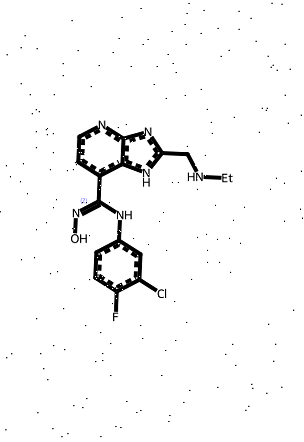 CCNCc1nc2nccc(/C(=N/O)Nc3ccc(F)c(Cl)c3)c2[nH]1